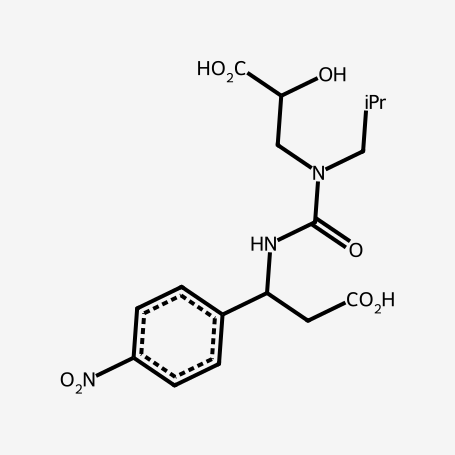 CC(C)CN(CC(O)C(=O)O)C(=O)NC(CC(=O)O)c1ccc([N+](=O)[O-])cc1